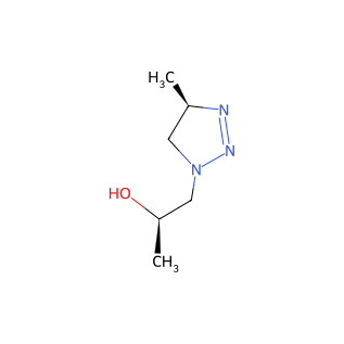 C[C@@H]1CN(C[C@@H](C)O)N=N1